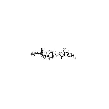 CC[C@H]1CC[C@H](CC[C@H]2CC[C@H](C=CC=C(F)C#N)CC2)CC1